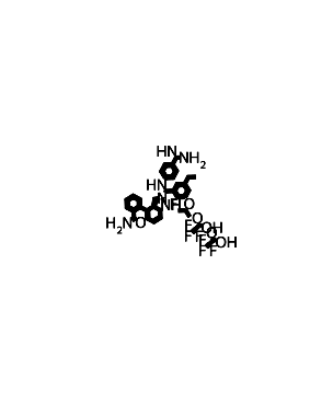 CCc1cc(OC(C)C)c(F)c(C(Nc2ccc(C(=N)N)cc2)N2C=C3C(c4ccccc4C(N)=O)=CC=CC3N2)c1.O=C(O)C(F)(F)F.O=C(O)C(F)(F)F